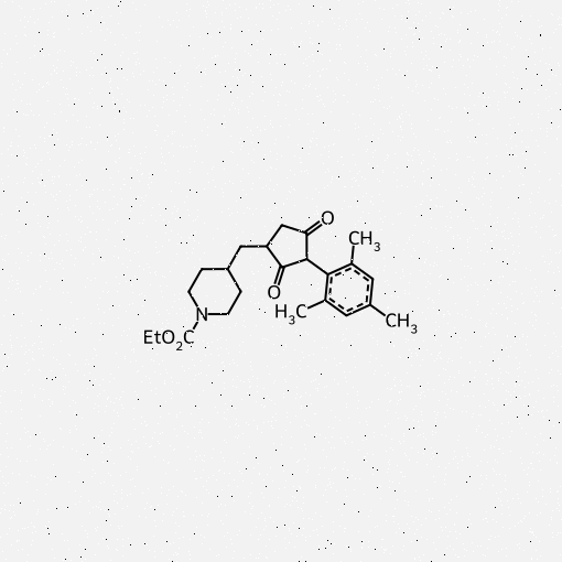 CCOC(=O)N1CCC(CC2CC(=O)C(c3c(C)cc(C)cc3C)C2=O)CC1